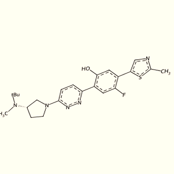 Cc1ncc(-c2cc(O)c(-c3ccc(N4CC[C@H](N(C)C(C)(C)C)C4)nn3)cc2F)s1